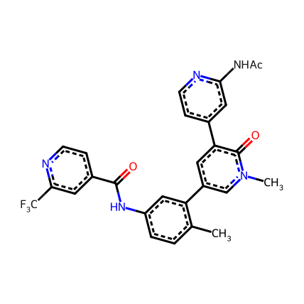 CC(=O)Nc1cc(-c2cc(-c3cc(NC(=O)c4ccnc(C(F)(F)F)c4)ccc3C)cn(C)c2=O)ccn1